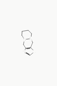 c1nc2c(s1)CN1CCCCN1C2